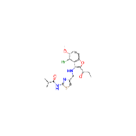 CCC(=O)c1oc2ccc(OC)c(Br)c2c1NCc1csc(NC(=O)C(C)C)n1